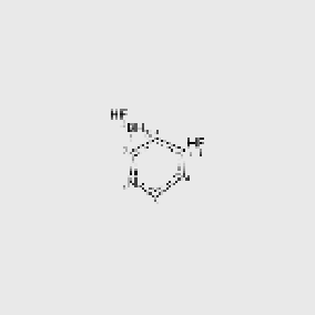 B.F.F.c1ccncc1